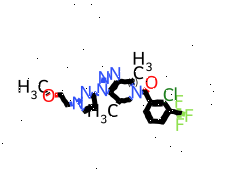 COCCn1ccc(-n2nnc3c2C(C)CN(C(=O)c2cccc(C(F)(F)F)c2Cl)[C@@H]3C)n1